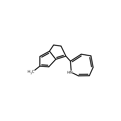 CC1=CC2=C(C3=CC=CC=CN3)CCC2=C1